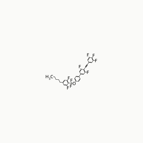 CCCCCc1cc(F)c(C(F)(F)Oc2ccc(-c3cc(F)c(C#Cc4cc(F)c(F)c(F)c4)c(F)c3)cc2)c(F)c1